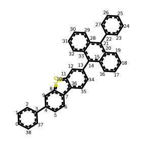 c1ccc(-c2ccc3c(c2)sc2cc(-c4c5ccccc5c(-c5ccccc5)c5ccccc45)ccc23)cc1